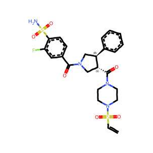 C=CS(=O)(=O)N1CCN(C(=O)[C@@H]2CN(C(=O)c3ccc(S(N)(=O)=O)c(F)c3)C[C@H]2c2ccccc2)CC1